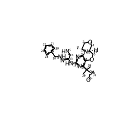 C[C@@H]1COC[C@H]2COc3c(nc(N/C(C=N)=N/NCc4ccccc4)nc3C(C)(C)[S+](C)[O-])N21